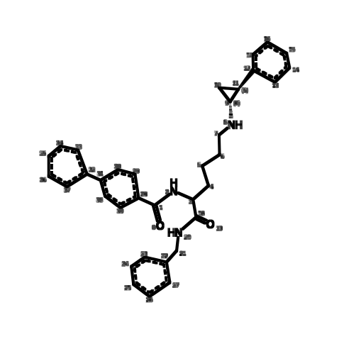 O=C(NC(CCCCN[C@@H]1C[C@H]1c1ccccc1)C(=O)NCc1ccccc1)c1ccc(-c2ccccc2)cc1